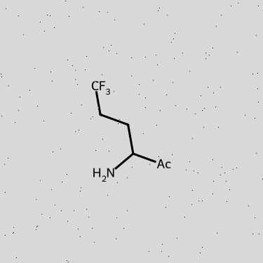 CC(=O)C(N)CCC(F)(F)F